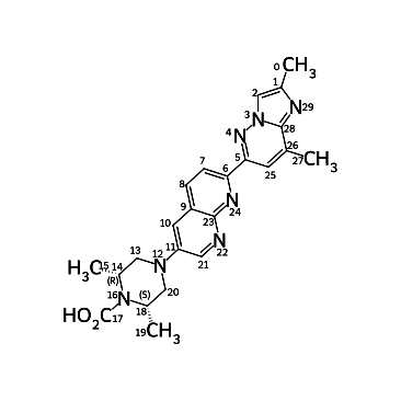 Cc1cn2nc(-c3ccc4cc(N5C[C@@H](C)N(C(=O)O)[C@@H](C)C5)cnc4n3)cc(C)c2n1